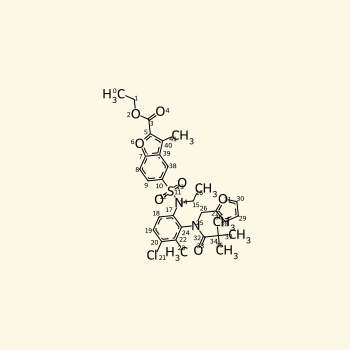 CCOC(=O)c1oc2ccc(S(=O)(=O)N(CC)c3ccc(Cl)c(C)c3N(Cc3ccco3)C(=O)C(C)(C)C)cc2c1C